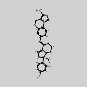 Cc1ncn2c1COc1cc(/C=C3\CCCN4C3=NO[C@@]4(CO)c3ccc(F)cc3)ccc1-2